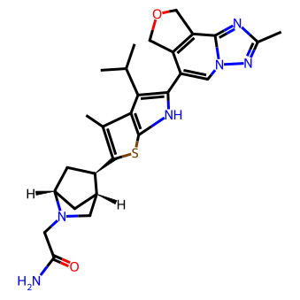 Cc1nc2c3c(c(-c4[nH]c5sc([C@@H]6C[C@@H]7C[C@H]6CN7CC(N)=O)c(C)c5c4C(C)C)cn2n1)COC3